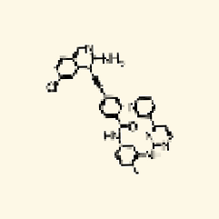 Cc1ccc(NC(=O)c2ccc(C#Cc3c(N)ncc4ccc(Cl)cc34)cc2)cc1Nc1nccc(-c2cccnc2)n1